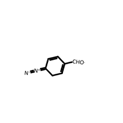 [N-]=[N+]=C1C=CC([C]=O)=CC1